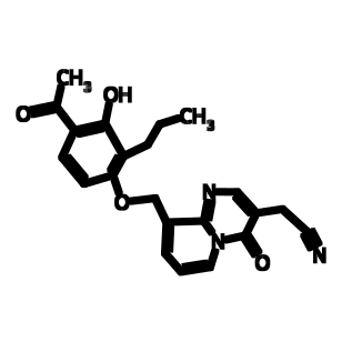 CCCc1c(OCc2cccn3c(=O)c(CC#N)cnc23)ccc(C(C)=O)c1O